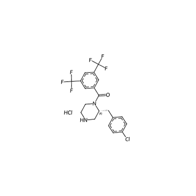 Cl.O=C(c1cc(C(F)(F)F)cc(C(F)(F)F)c1)N1CCNC[C@H]1Cc1ccc(Cl)cc1